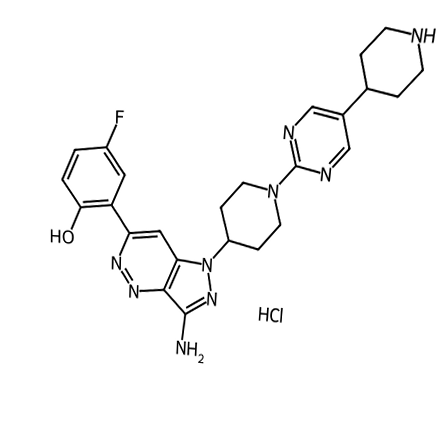 Cl.Nc1nn(C2CCN(c3ncc(C4CCNCC4)cn3)CC2)c2cc(-c3cc(F)ccc3O)nnc12